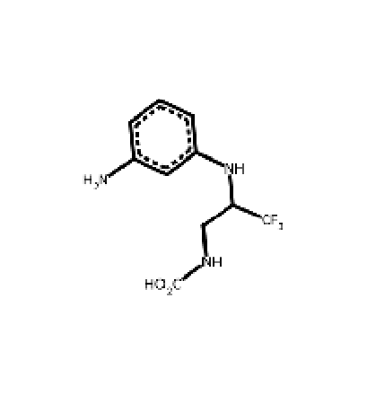 Nc1cccc(NC(CNC(=O)O)C(F)(F)F)c1